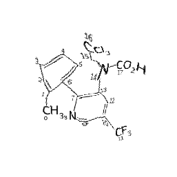 Cc1ccccc1-c1ncc(C(F)(F)F)cc1N(CC(Cl)(Cl)Cl)C(=O)O